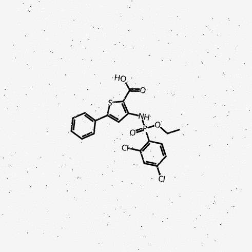 CCOP(=O)(Nc1cc(-c2ccccc2)sc1C(=O)O)c1ccc(Cl)cc1Cl